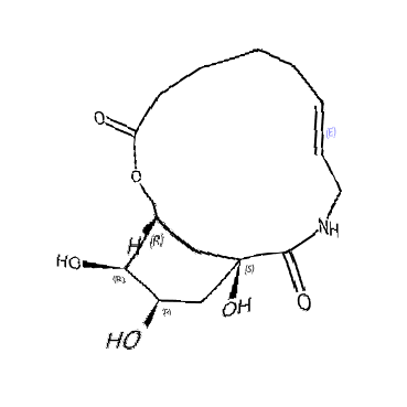 O=C1CCCC/C=C/CNC(=O)[C@]2(O)C[C@@H](O)[C@@H](O)[C@@H](C2)O1